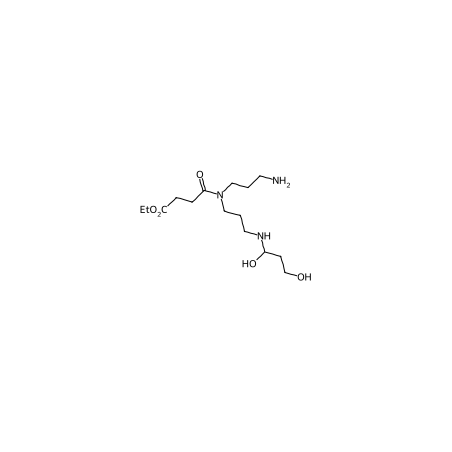 CCOC(=O)CCC(=O)N(CCCN)CCCNC(O)CCO